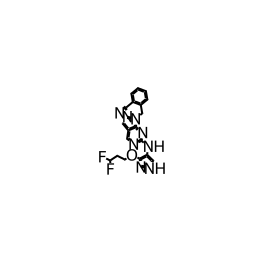 N#Cc1ccccc1Cn1ncc2cnc(Nc3c[nH]nc3OCCC(F)F)nc21